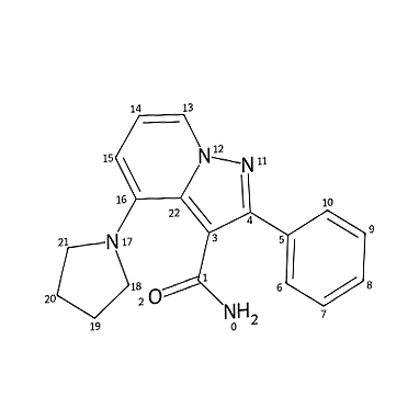 NC(=O)c1c(-c2ccccc2)nn2cccc(N3CCCC3)c12